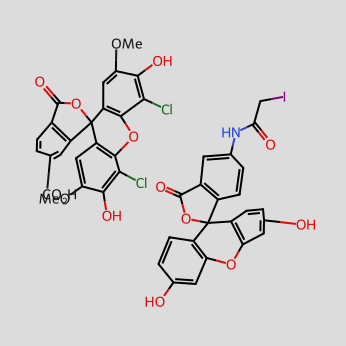 COc1cc2c(c(Cl)c1O)Oc1c(cc(OC)c(O)c1Cl)C21OC(=O)c2ccc(C(=O)O)cc21.O=C(CI)Nc1ccc2c(c1)C(=O)OC21c2ccc(O)cc2Oc2cc(O)ccc21